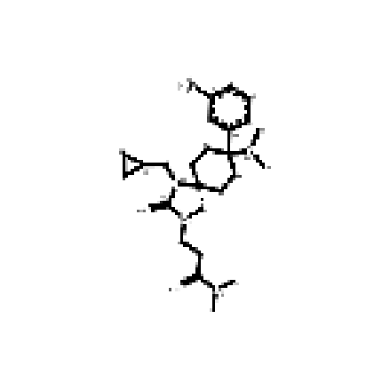 CN(C)C(=O)CCN1C[C@]2(CC[C@](c3cccc(P)c3)(N(C)C)CC2)N(CC2CC2)C1=O